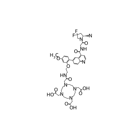 COc1ccc(-c2ccc3nccc(C(=O)NCC(=O)N4CC(F)(F)C[C@H]4C#N)c3c2)c(OCCNC(=O)CN2CCN(CC(=O)O)CCN(CC(=O)O)CCN(CC(=O)O)CC2)c1